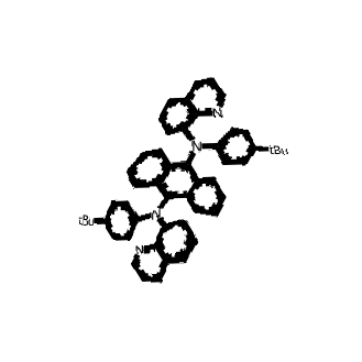 CC(C)(C)c1ccc(N(c2c3ccccc3c(N(c3ccc(C(C)(C)C)cc3)c3cccc4cccnc34)c3ccccc23)c2cccc3cccnc23)cc1